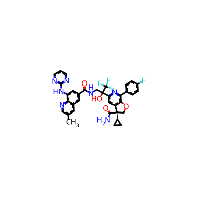 Cc1cnc2c(Nc3ncccn3)cc(C(=O)NCC(O)(c3cc4c(c(-c5ccc(F)cc5)n3)OC[C@@]4(C(N)=O)C3CC3)C(F)(F)F)cc2c1